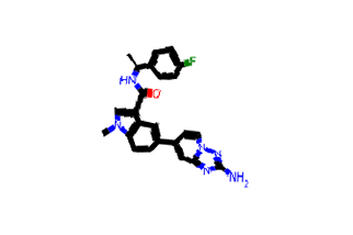 C[C@H](NC(=O)c1cn(C)c2ccc(-c3ccn4nc(N)nc4c3)cc12)c1ccc(F)cc1